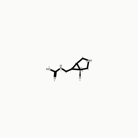 O=C(O)NCC1C2CNC[C@@H]21